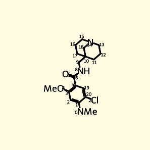 CNc1cc(OC)c(C(=O)NCC23CCCN(CCC2)C3)cc1Cl